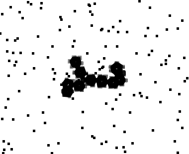 C1=Cc2ccccc2C(c2cccc(N(c3ccc(-c4ccccc4)cc3)c3ccc(-c4ccc(-c5ccc6ccc7oc8ccccc8c7c6c5)cc4)cc3)c2)C1